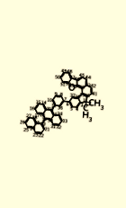 CC1(C)c2ccc(-c3cccc(-c4c5ccccc5c(-c5cccc6ccccc56)c5ccccc45)c3)cc2-c2c1ccc1ccc3c4ccccc4oc3c21